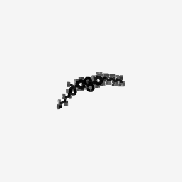 CCCCCCOC(C)c1ccc(OC(=O)c2ccc(CCCCCC)cc2)cc1